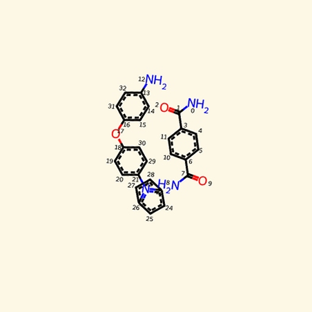 NC(=O)c1ccc(C(N)=O)cc1.Nc1ccc(Oc2ccc(-n3c4ccc3cc4)cc2)cc1